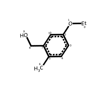 CCOc1ccc(C)c(CO)c1